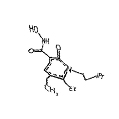 CCc1c(C)cc(C(=O)NO)c(=O)n1CCC(C)C